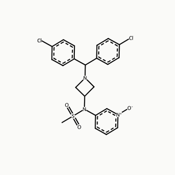 CS(=O)(=O)N(c1ccc[n+]([O-])c1)C1CN(C(c2ccc(Cl)cc2)c2ccc(Cl)cc2)C1